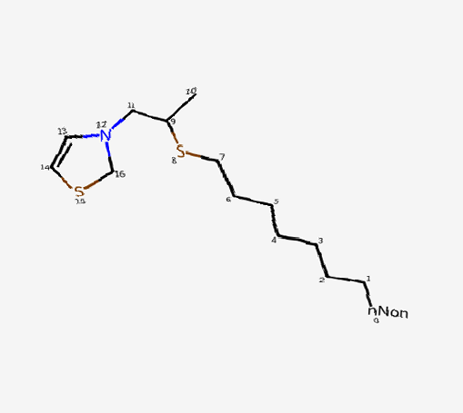 CCCCCCCCCCCCCCCCSC(C)CN1C=CSC1